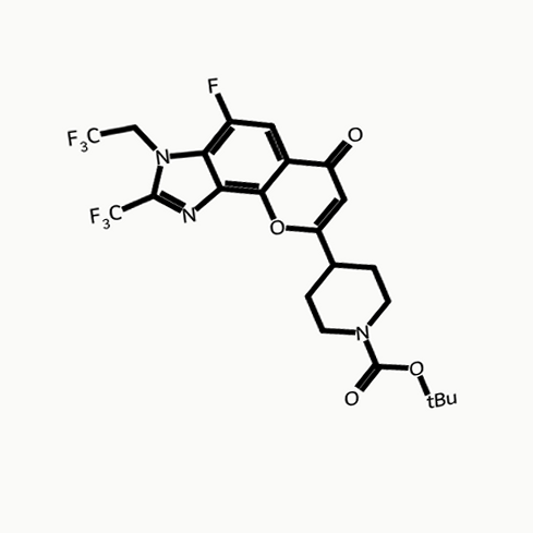 CC(C)(C)OC(=O)N1CCC(c2cc(=O)c3cc(F)c4c(nc(C(F)(F)F)n4CC(F)(F)F)c3o2)CC1